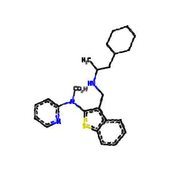 CC(CC1CCCCC1)NCc1c(N(C(=O)O)c2ccccn2)sc2ccccc12